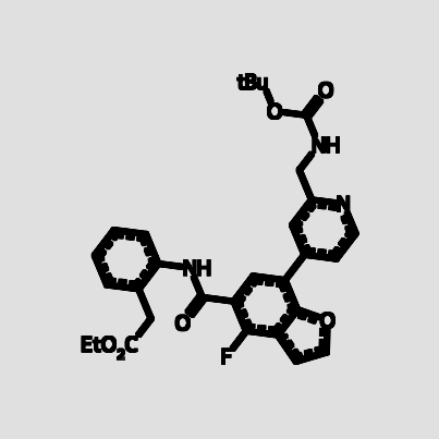 CCOC(=O)Cc1ccccc1NC(=O)c1cc(-c2ccnc(CNC(=O)OC(C)(C)C)c2)c2occc2c1F